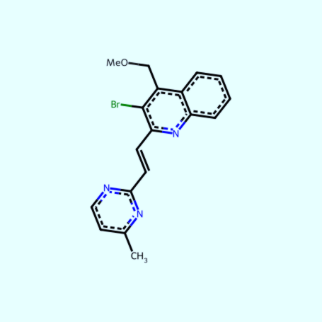 COCc1c(Br)c(C=Cc2nccc(C)n2)nc2ccccc12